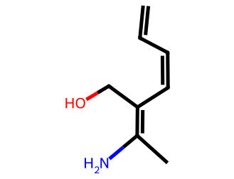 C=C/C=C\C(CO)=C(/C)N